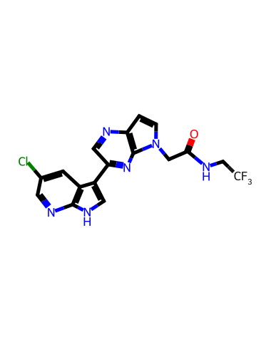 O=C(Cn1ccc2ncc(-c3c[nH]c4ncc(Cl)cc34)nc21)NCC(F)(F)F